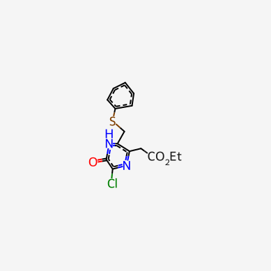 CCOC(=O)Cc1nc(Cl)c(=O)[nH]c1CSc1ccccc1